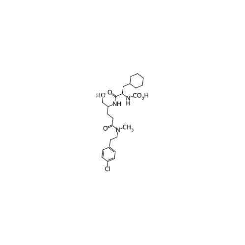 CN(CCc1ccc(Cl)cc1)C(=O)CCC(CO)NC(=O)C(CC1CCCCC1)NC(=O)O